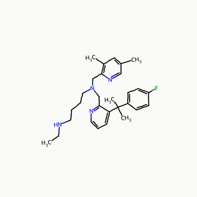 CCNCCCCN(Cc1ncc(C)cc1C)Cc1ncccc1C(C)(C)c1ccc(F)cc1